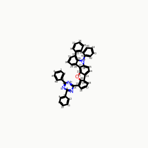 c1ccc(-c2nc(-c3ccccc3)nc(-c3cccc4c3oc3c4ccc4c3c3cccc(-c5ccccc5)c3n4-c3ccccc3)n2)cc1